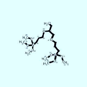 CCC(COCCC[Si](OC)(OC)OC)OCCC[Si](OC)(OC)OC